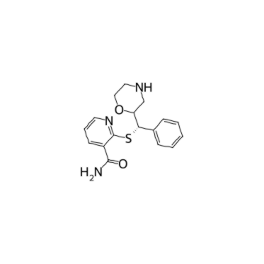 NC(=O)c1cccnc1S[C@@H](c1ccccc1)C1CNCCO1